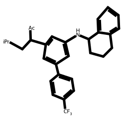 CC(=O)C(CC(C)C)c1cc(NC2CCCc3ccccc32)cc(-c2ccc(C(F)(F)F)cc2)c1